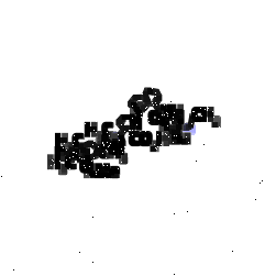 C=C/C=C\c1nc(NC(=O)c2cccc3c2CN(c2ccc(/C(C=N)=C(\C)NCC4(C)CC5(C)CC(ONC)(C4)C[PH](C)(CC)C5)c(C(=O)O)n2)CC3)sc1C(C)CC